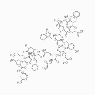 CCCC[C@@H](C(=O)N1CC(=P)C[C@@H]1C(=O)N[C@H](C=O)CC(=O)O)N(C)C(=O)[C@H](Cc1ccccc1)N(C)C(=O)[C@H](Cc1ccc(F)c(F)c1)NC(=O)CSC[C@H](NC(=O)[C@H](CCC(=O)O)NC(=O)[C@H](Cc1ccc(O)cc1)NC(=O)[C@H](Cc1c[nH]c2ccccc12)NC(=O)C1C[C@@H](O)CN1C(=O)[C@H](CCC(=O)O)NC(=O)C(Cc1ccccc1)N(C)C(=O)[C@@H](N)C(C)C)C(=O)NCC(N)=O